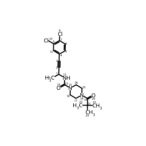 CC(C#Cc1ccc(Cl)c(Cl)c1)NC(=O)N1CCN(C(=O)C(C)(C)C)CC1